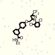 CCNC(=O)c1cccc(-c2ccc(OCc3cc(C(F)(F)F)nn3-c3c(Cl)cccc3Cl)cc2)c1